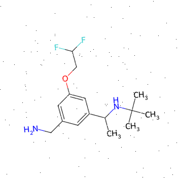 CC(NC(C)(C)C)c1cc(CN)cc(OCC(F)F)c1